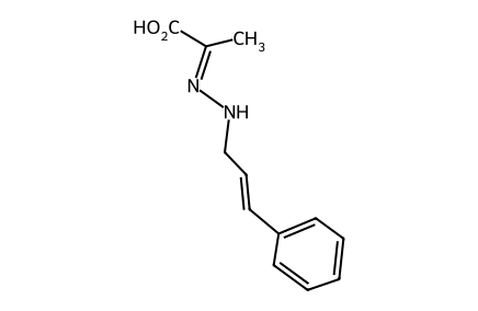 CC(=NNC/C=C/c1ccccc1)C(=O)O